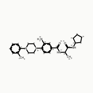 Cc1ccccc1N1CCN(c2ccc(C(=O)NC(C)C(=O)NC3CCCC3)cc2N)CC1